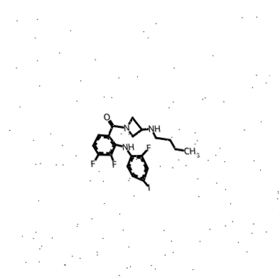 CCCCNC1CN(C(=O)c2ccc(F)c(F)c2Nc2ccc(I)cc2F)C1